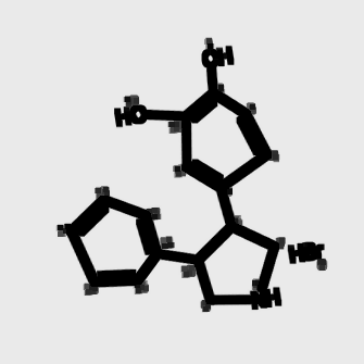 Br.Oc1ccc(C2CNCC2c2ccccc2)cc1O